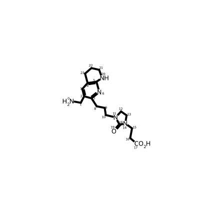 NCc1cc2c(nc1CCCN1CCN(CCC(=O)O)C1=O)NCCC2